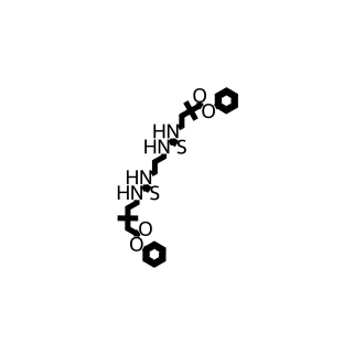 CC(C)(CCNC(=S)NCCCNC(=S)NCCC(C)(C)C(=O)Oc1ccccc1)CC(=O)Oc1ccccc1